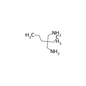 [CH2]CCC(CC)(CN)CN